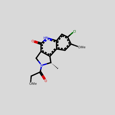 COCC(=O)N1Cc2c(c3cc(OC)c(Cl)cc3[nH]c2=O)[C@@H]1C